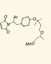 COCC(C)OCCC(C)(C)Oc1ccc(CC(C(C)=O)N2C(=O)C=CC2=O)cc1